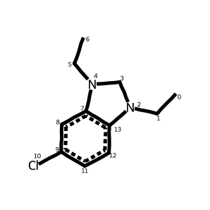 CCN1CN(CC)c2cc(Cl)ccc21